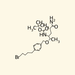 CC(OCc1ccc(CCCCBr)cc1)C(CCC(N)=O)NC(=O)OC(C)(C)C